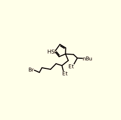 CCCCC(CC)CC1(CC(CC)CCCCBr)C=C[SiH]=C1